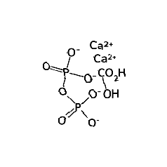 O=C(O)O.O=P([O-])([O-])OP(=O)([O-])[O-].[Ca+2].[Ca+2]